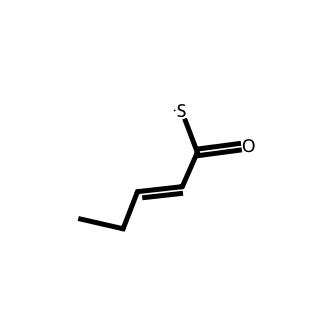 CC/C=C/C(=O)[S]